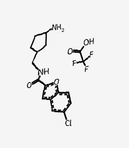 NC1CCC(CNC(=O)c2cc3cc(Cl)ccc3o2)C1.O=C(O)C(F)(F)F